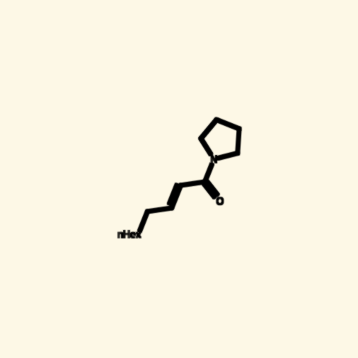 CCCCCCCC=CC(=O)N1CCCC1